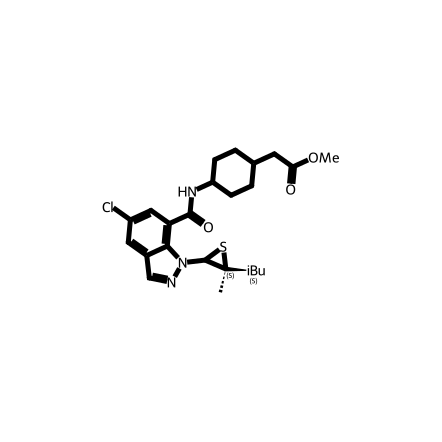 CC[C@H](C)[C@]1(C)SC1n1ncc2cc(Cl)cc(C(=O)NC3CCC(CC(=O)OC)CC3)c21